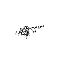 CNc1ccc(N)c2c1C(=O)c1c(NCCCNCCO)cccc1C2=O